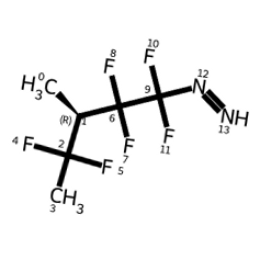 C[C@H](C(C)(F)F)C(F)(F)C(F)(F)N=N